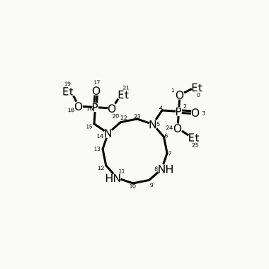 CCOP(=O)(CN1CCNCCNCCN(CP(=O)(OCC)OCC)CC1)OCC